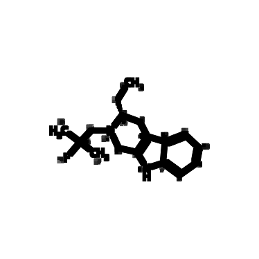 CC[C@@H]1Cc2c([nH]c3ccccc23)CN1CC(C)(C)F